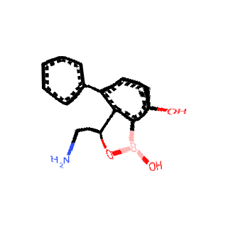 NCC1OB(O)c2c(O)ccc(-c3ccccc3)c21